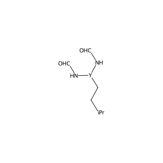 CC(C)C[CH2][Y]([NH]C=O)[NH]C=O